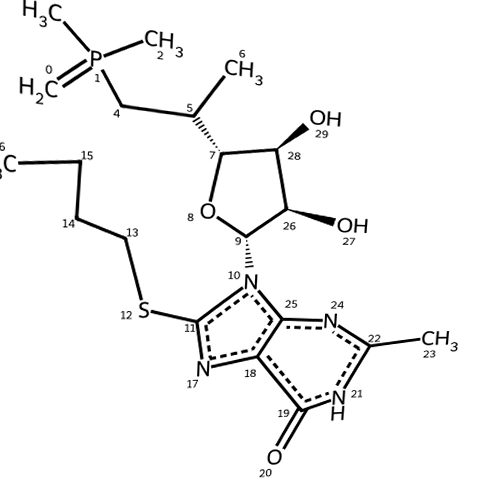 C=P(C)(C)CC(C)[C@H]1O[C@@H](n2c(SCCCC)nc3c(=O)[nH]c(C)nc32)[C@H](O)[C@@H]1O